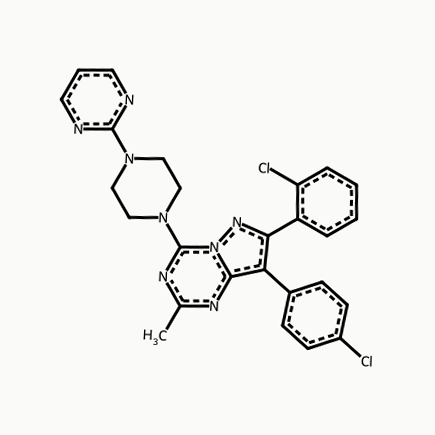 Cc1nc(N2CCN(c3ncccn3)CC2)n2nc(-c3ccccc3Cl)c(-c3ccc(Cl)cc3)c2n1